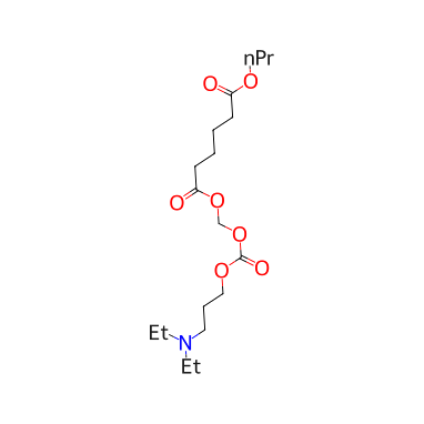 CCCOC(=O)CCCCC(=O)OCOC(=O)OCCCN(CC)CC